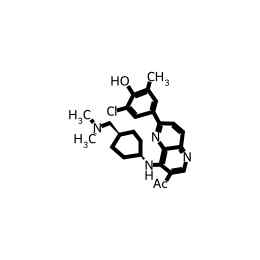 CC(=O)c1cnc2ccc(-c3cc(C)c(O)c(Cl)c3)nc2c1N[C@H]1CC[C@H](CN(C)C)CC1